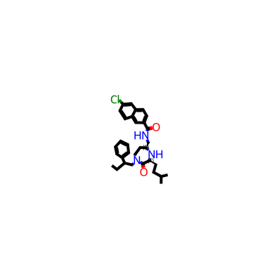 CCC(CN1CC[C@@H](CNC(=O)c2ccc3cc(Cl)ccc3c2)N[C@@H](CCC(C)C)C1=O)c1ccccc1